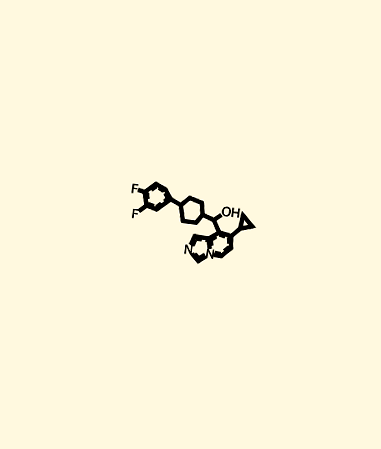 OC(c1c(C2CC2)ccn2cncc12)C1CCC(c2ccc(F)c(F)c2)CC1